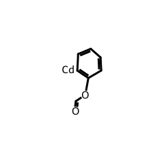 O=COc1ccccc1.[Cd]